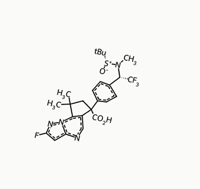 CN([C@@H](c1ccc(C2(C(=O)O)CC(C)(C)c3c2cnc2cc(F)nn32)cc1)C(F)(F)F)[S@+]([O-])C(C)(C)C